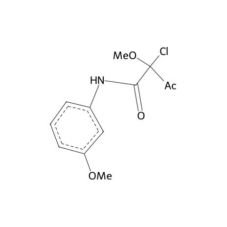 COc1cccc(NC(=O)C(Cl)(OC)C(C)=O)c1